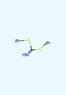 CC(C)SC(=N)SC(C)C